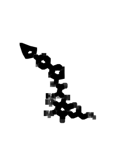 CCC(=O)Cn1c(=O)c(N[C@@H](C)C(=O)Nc2cncc(-c3cnc(N4CC5CC5C4)nc3)n2)c(N)n(C)c1=O